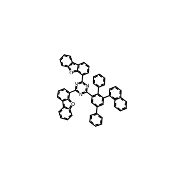 c1ccc(-c2cc(-c3nc(-c4cccc5c4oc4ccccc45)nc(-c4cccc5c4oc4ccccc45)n3)c(-c3ccccc3)c(-c3cccc4ccccc34)c2)cc1